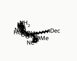 CCCCCCCCCCCCCCCCCCOC[C@H](COP(=O)(O)OC[C@H]1O[C@@](C#N)(c2ccc3c(N)ncnn23)[C@H](O)[C@@H]1O)OCc1cc(C#N)ccc1OC